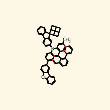 Cc1ccc(-c2cccc3cccc(-c4ccccc4)c23)c(N(c2ccc(-c3ccc4oc5ccccc5c4c3)cc2)c2ccc3c(c2)C2(c4ccccc4-3)C3CC4CC5CC2C453)c1